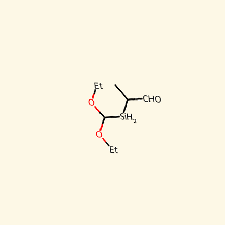 CCOC(OCC)[SiH2]C(C)C=O